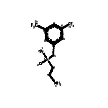 CCC[N+]([O-])(CCN)Cc1cc(C(F)(F)F)cc(C(F)(F)F)c1